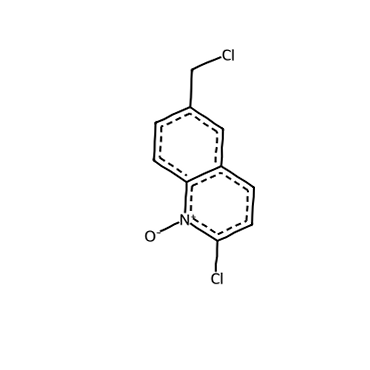 [O-][n+]1c(Cl)ccc2cc(CCl)ccc21